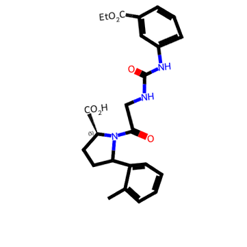 CCOC(=O)c1cccc(NC(=O)NCC(=O)N2C(c3ccccc3C)CC[C@H]2C(=O)O)c1